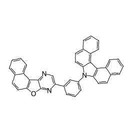 c1cc(-c2cnc3c(n2)oc2ccc4ccccc4c23)cc(-n2c3ccc4ccccc4c3c3c4ccccc4ccc32)c1